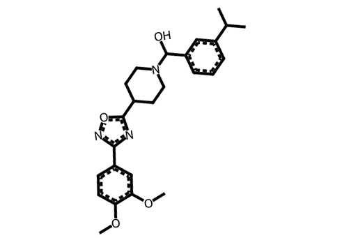 COc1ccc(-c2noc(C3CCN(C(O)c4cccc(C(C)C)c4)CC3)n2)cc1OC